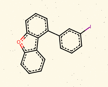 Ic1cccc(-c2cccc3oc4ccccc4c23)c1